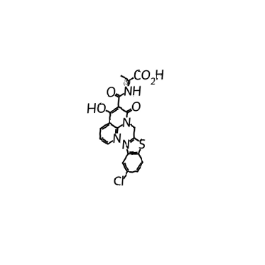 C[C@H](NC(=O)c1c(O)c2cccnc2n(Cc2nc3cc(Cl)ccc3s2)c1=O)C(=O)O